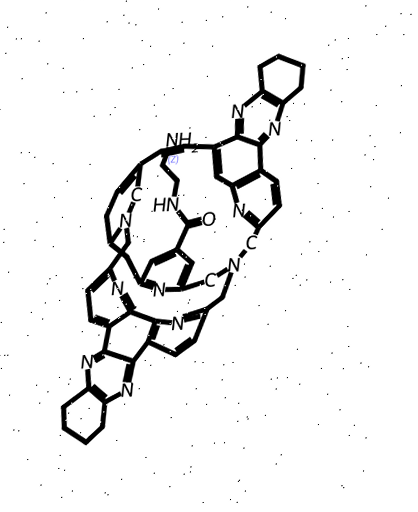 NCCNC(=O)c1cc2nc(c1)CN1Cc3ccc4c(cc(c5nc6c(nc54)CCCC6)/C=C\C4=CCC(C2)N(C4)Cc2ccc4c(n2)c2nc(ccc2c2nc5c(nc42)CCCC5)C1)n3